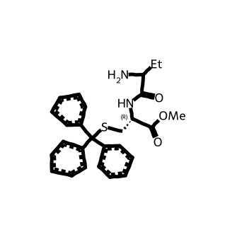 CCC(N)C(=O)N[C@@H](CSC(c1ccccc1)(c1ccccc1)c1ccccc1)C(=O)OC